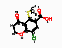 CSc1c(C(=O)O)cc(Cl)c2c1C(=O)CCO2